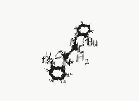 CC(=Nc1ccccc1C(C)(C)C)C(C)=Nc1ccccc1C(C)(C)C